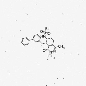 CCS(=O)(=O)NC1CCc2c(C)nn(C)c(=O)c2C1Cc1cccc(-c2ccccc2)c1